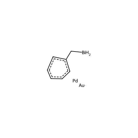 [Au].[BiH2][CH2]c1ccccc1.[Pd]